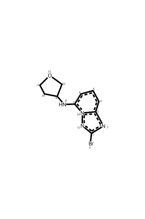 Brc1nc2cccc(NC3CCOC3)n2n1